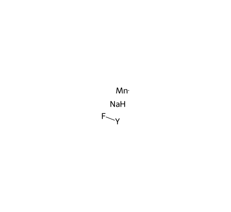 [F][Y].[Mn].[NaH]